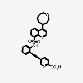 O=C(O)c1ccc(C#Cc2ccccc2NS(=O)(=O)c2cccc3c(C4CCCCOCC4)ccnc23)cn1